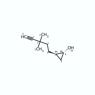 C#CC(C)(C)CC[C@@H]1C[C@H]1O